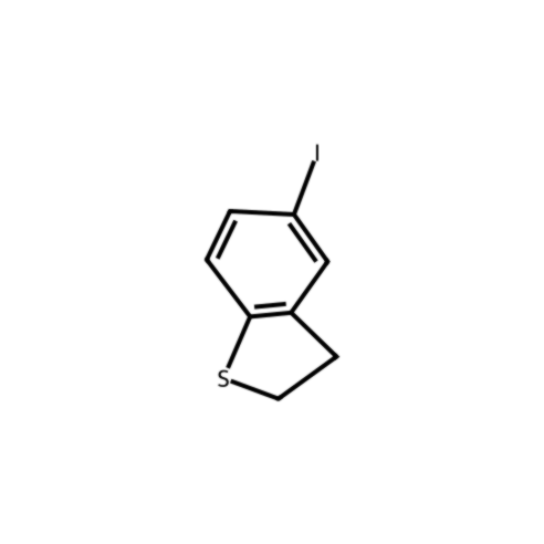 Ic1ccc2c(c1)CCS2